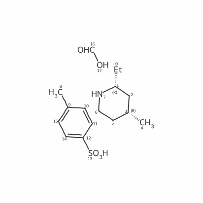 CC[C@@H]1C[C@H](C)CCN1.Cc1ccc(S(=O)(=O)O)cc1.O=CO